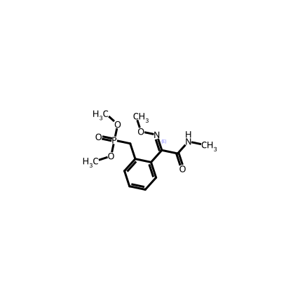 CNC(=O)/C(=N/OC)c1ccccc1CP(=O)(OC)OC